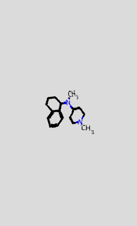 CN1CCC(N(C)C2CCCc3ccccc32)CC1